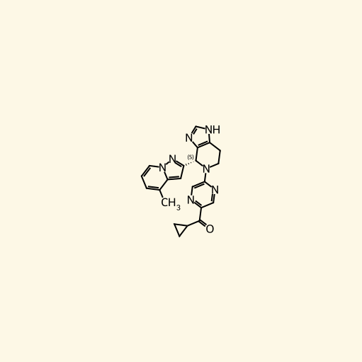 Cc1cccn2nc([C@@H]3c4nc[nH]c4CCN3c3cnc(C(=O)C4CC4)cn3)cc12